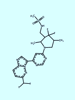 CC1C(CNS(C)(=O)=O)C(F)(F)C(C)CN1c1cc(-c2cnc3ccc(C(F)F)nn23)ncn1